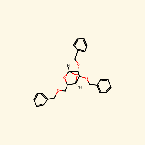 c1ccc(COC[C@H]2O[C@H]3O[C@H]2[C@H](OCc2ccccc2)[C@H]3OCc2ccccc2)cc1